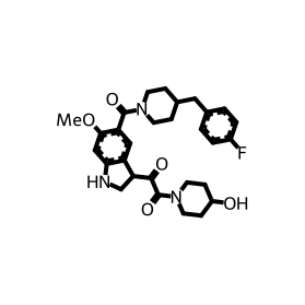 COc1cc2c(cc1C(=O)N1CCC(Cc3ccc(F)cc3)CC1)C(C(=O)C(=O)N1CCC(O)CC1)CN2